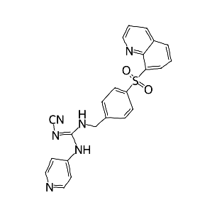 N#C/N=C(\NCc1ccc(S(=O)(=O)c2cccc3cccnc23)cc1)Nc1ccncc1